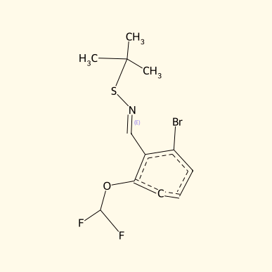 CC(C)(C)S/N=C/c1c(Br)cccc1OC(F)F